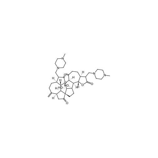 C=C1CC[C@H]2C(CN3CCN(C)CC3)C(=O)O[C@@H]2[C@@H]2[C@H]1C[C@@]1(O)[C@]2(O)CC[C@]12C(=O)C[C@H]1C(=C)CC[C@H]3C(CN4CCN(C)CC4)C(=O)O[C@@H]3[C@H]12